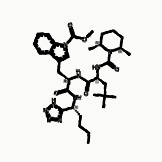 CCCC[C@@H](NC(=O)[C@@H](Cc1cn(C(=O)OC)c2ccccc12)NC(=O)[C@H](CC(C)(C)C)NC(=O)N1[C@H](C)CCC[C@@H]1C)c1nnn[nH]1